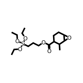 CCO[Si](CCCOC(=O)C1CCC2OC2C1C)(OCC)OCC